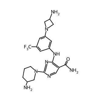 NC(=O)c1cnc(N2CCCC(N)C2)nc1Nc1cc(N2CC(N)C2)cc(C(F)(F)F)c1